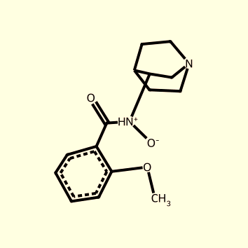 COc1ccccc1C(=O)[NH+]([O-])C1CN2CCC1CC2